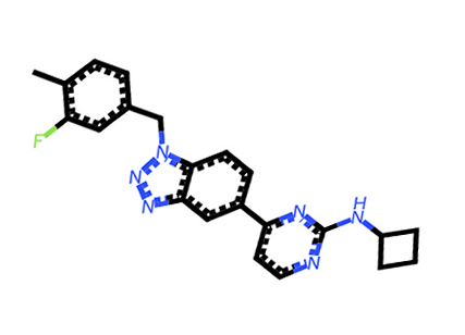 Cc1ccc(Cn2nnc3cc(-c4ccnc(NC5CCC5)n4)ccc32)cc1F